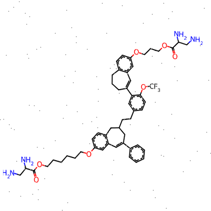 NCC(N)C(=O)OCCCCCCOc1ccc2c(c1)C=C(c1ccccc1)CC(CCc1ccc(OC(F)(F)F)c(C3=Cc4cc(OCCCOC(=O)C(N)CN)ccc4CCC3)c1)C2